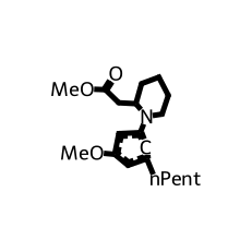 CCCCCc1cc(OC)cc(N2CCCCC2CC(=O)OC)c1